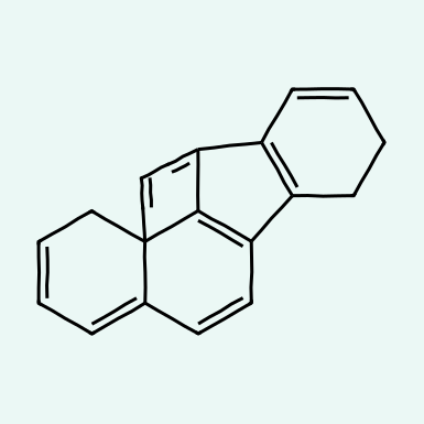 C1=CCC23C=CC=C4C5=C(CCC=C5)C(=C42)C=CC3=C1